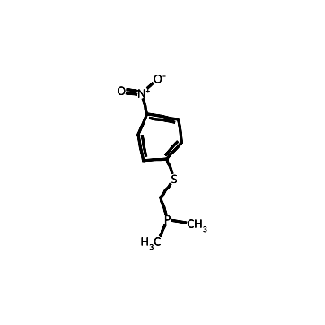 CP(C)CSc1ccc([N+](=O)[O-])cc1